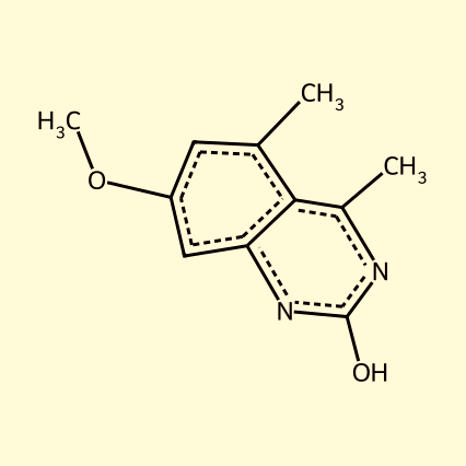 COc1cc(C)c2c(C)nc(O)nc2c1